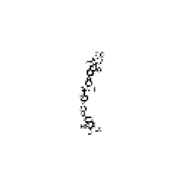 CCc1cc2ncc(CN3CCN(c4ccc(C(=O)NC5CCN(c6ccc7c(c6)C(=O)N(C6CCC(=O)NC6=O)C7=O)CC5)nc4)CC3)cc2[nH]c1=O